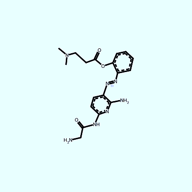 CN(C)CCC(=O)Oc1ccccc1/N=N/c1ccc(NC(=O)CN)nc1N